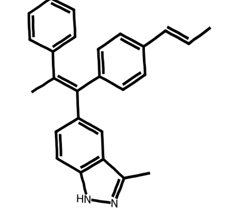 C/C=C/c1ccc(/C(=C(/C)c2ccccc2)c2ccc3[nH]nc(C)c3c2)cc1